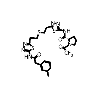 CC1C=C(CC(=O)Nc2nnc(CCSCCc3nnc(NC(=O)[C@@H]4CCCN4C(=O)C(F)(F)F)s3)s2)C=CC1